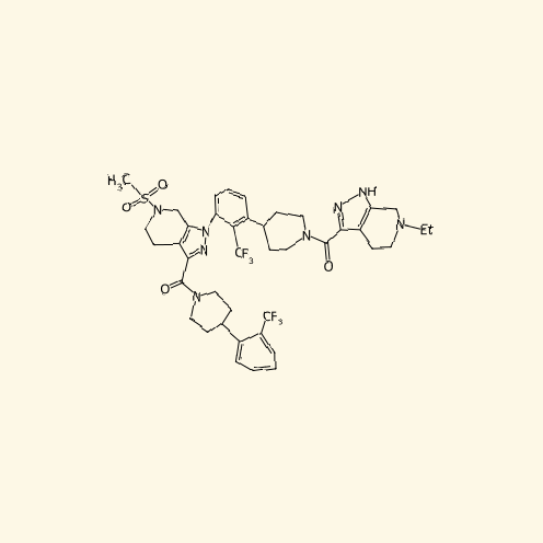 CCN1CCc2c(C(=O)N3CCC(c4cccc(-n5nc(C(=O)N6CCC(c7ccccc7C(F)(F)F)CC6)c6c5CN(S(C)(=O)=O)CC6)c4C(F)(F)F)CC3)n[nH]c2C1